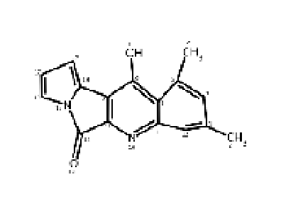 Cc1cc(C)c2c(O)c3c(nc2c1)C(=O)n1cccc1-3